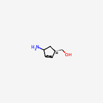 NC1C=C[C@@H](CO)C1